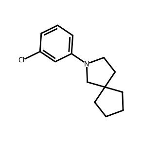 Clc1cccc(N2CCC3(CCCC3)C2)c1